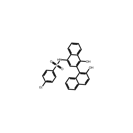 CCc1ccc(S(=O)(=O)Nc2cc(-c3c(O)ccc4ccccc34)c(O)c3ccccc23)cc1